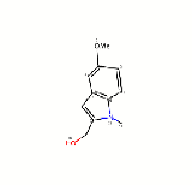 COc1ccc2c(c1)cc(CO)n2C